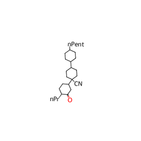 CCCCCC1CCC(C2CCC(C#N)(C3CCC(CCC)C(=O)C3)CC2)CC1